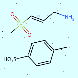 CS(=O)(=O)/C=C/CN.Cc1ccc(S(=O)(=O)O)cc1